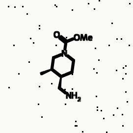 COC(=O)N1CC[C@@H](CN)[C@@H](C)C1